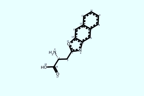 N[C@H](Cc1nc2cc3ccccc3cc2o1)C(=O)O